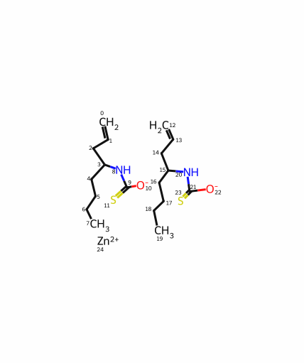 C=CCC(CCCC)NC([O-])=S.C=CCC(CCCC)NC([O-])=S.[Zn+2]